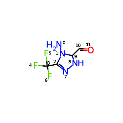 NN1C(C(F)(F)F)=NNC1C=O